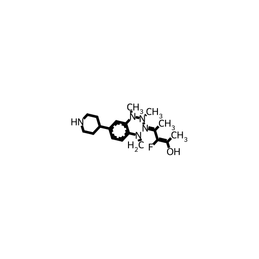 C=Nc1ccc(C2CCNCC2)cc1N(C)N(C)/N=C(C)/C(F)=C(\C)O